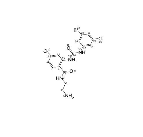 NCCNC(=O)c1ccc(Cl)cc1NC(=O)Nc1cc(Cl)cc(Br)c1